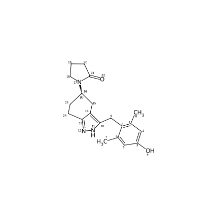 Cc1cc(O)cc(C)c1Cc1[nH]nc2c1C[C@H](N1CCCC1=O)CC2